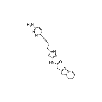 Nc1ccc(C#CCCc2nnc(NC(=O)Cc3cc4ccccn4n3)s2)nn1